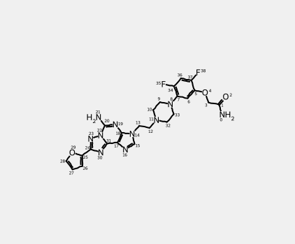 NC(=O)COc1cc(N2CCN(CCn3cnc4c3nc(N)n3nc(-c5ccco5)nc43)CC2)c(F)cc1F